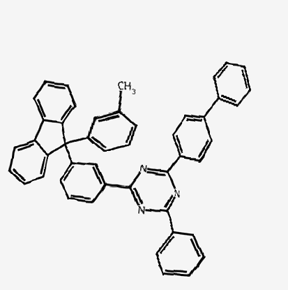 Cc1cccc(C2(c3cccc(-c4nc(-c5ccccc5)nc(-c5ccc(-c6ccccc6)cc5)n4)c3)c3ccccc3-c3ccccc32)c1